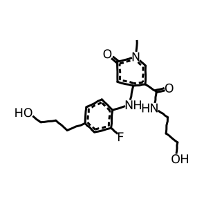 Cn1cc(C(=O)NCCCO)c(Nc2ccc(CCCO)cc2F)cc1=O